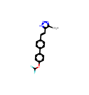 O=C(O)c1nn[nH]c1/C=C/c1ccc(-c2ccc(OC(F)F)cc2)cc1